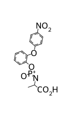 CC(/N=[P+](\[O-])Oc1ccccc1Oc1ccc([N+](=O)[O-])cc1)C(=O)O